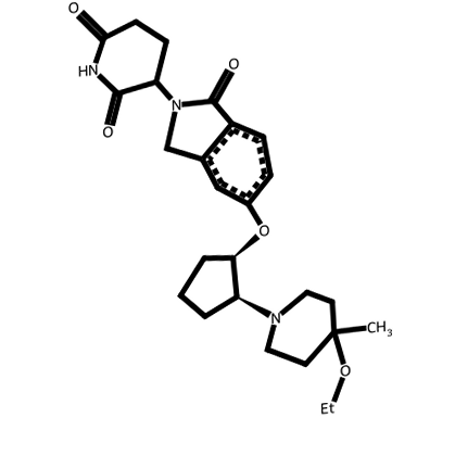 CCOC1(C)CCN([C@H]2CCC[C@H]2Oc2ccc3c(c2)CN(C2CCC(=O)NC2=O)C3=O)CC1